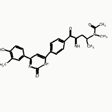 CC(=O)N(C)C(C)CC(=N)C(=O)c1ccc(-c2cc(-c3ccc(O)c(C)c3)nc(=O)[nH]2)cc1